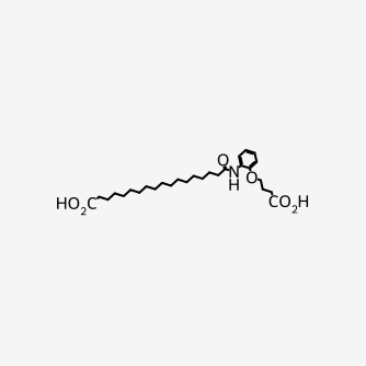 O=C(O)CCCCCCCCCCCCCCCCC(=O)Nc1ccccc1OCCCC(=O)O